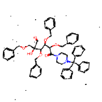 O=CC(O)(COCc1ccccc1)C(OCc1ccccc1)C(OCc1ccccc1)C(OCc1ccccc1)C(=O)N1CCN(C(c2ccccc2)(c2ccccc2)c2ccccc2)CC1